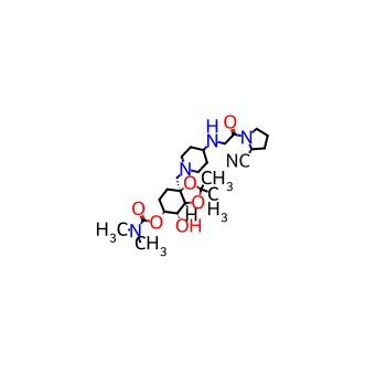 CN(C)C(=O)O[C@@H]1CC[C@@]2(CN3CCC(NCC(=O)N4CCC[C@H]4C#N)CC3)OC(C)(C)O[C@H]2[C@@H]1O